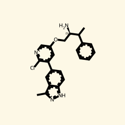 Cc1n[nH]c2ccc(-c3cc(OC[C@@H](N)C(C)c4ccccc4)cnc3Cl)cc12